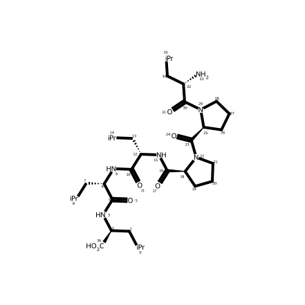 CC(C)C[C@H](NC(=O)[C@H](CC(C)C)NC(=O)[C@H](CC(C)C)NC(=O)[C@@H]1CCCN1C(=O)[C@@H]1CCCN1C(=O)[C@@H](N)CC(C)C)C(=O)O